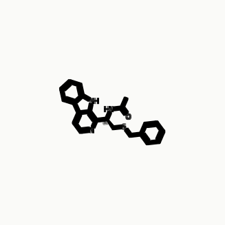 CC(=O)N[C@@H](CSCc1ccccc1)c1nccc2c1[nH]c1ccccc12